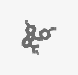 NC(=O)c1cncc2c3cc(F)ccc3n(N[C@H]3CC[C@H](O)CC3)c12